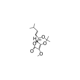 COC1=C2OC(C)(C)O[C@H](C=CC(C)C)[C@H]2OC1=O